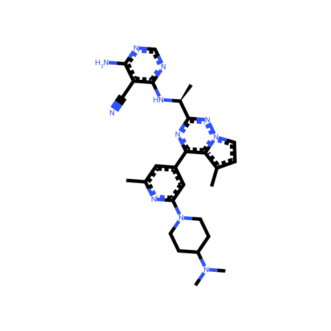 Cc1cc(-c2nc([C@H](C)Nc3ncnc(N)c3C#N)nn3ccc(C)c23)cc(N2CCC(N(C)C)CC2)n1